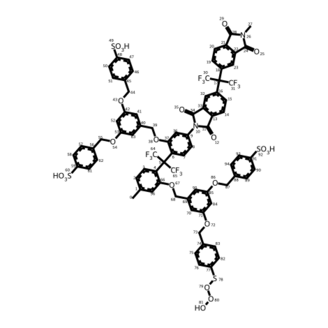 Cc1ccc(C(c2ccc(N3C(=O)c4ccc(C(c5ccc6c(c5)C(=O)N(C)C6=O)(C(F)(F)F)C(F)(F)F)cc4C3=O)cc2OCc2cc(OCc3ccc(S(=O)(=O)O)cc3)cc(OCc3ccc(S(=O)(=O)O)cc3)c2)(C(F)(F)F)C(F)(F)F)c(OCc2cc(OCc3ccc(SOOO)cc3)cc(OCc3ccc(S(=O)(=O)O)cc3)c2)c1